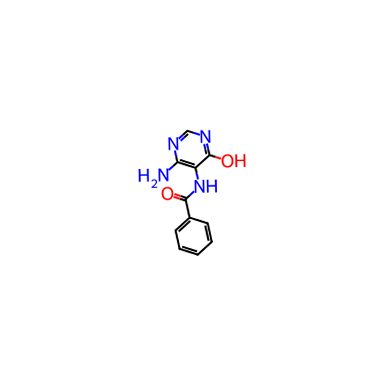 Nc1ncnc(O)c1NC(=O)c1ccccc1